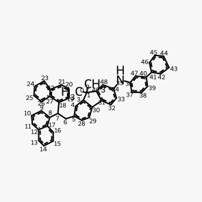 CC1(C)c2cc(CC(c3cccc4ccccc34)c3cccc4ccccc34)ccc2-c2ccc(Nc3cccc(-c4ccccc4)c3)cc21